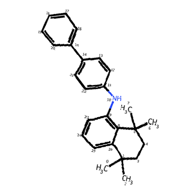 CC1(C)CCC(C)(C)c2c(Nc3ccc(-c4ccccc4)cc3)cccc21